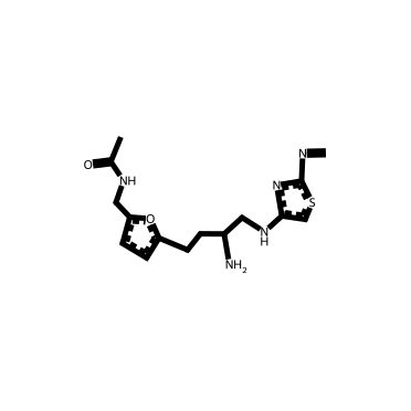 C=Nc1nc(NCC(N)CCc2ccc(CNC(C)=O)o2)cs1